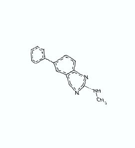 CNc1ncc2cc(-c3ccccc3)ccc2n1